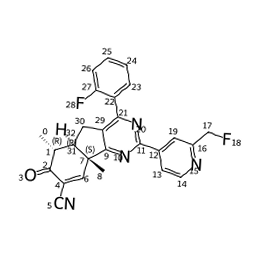 C[C@H]1C(=O)C(C#N)=C[C@@]2(C)c3nc(-c4ccnc(CF)c4)nc(-c4ccccc4F)c3C[C@H]12